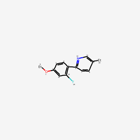 CCOc1ccc(-c2ccc(CC)cn2)c(F)c1